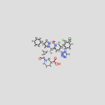 O=C(O)C1CCCN(C(=O)[C@@H]2C[C@@H]2CC(c2ccc(-c3c(-n4cnnn4)ccc(Cl)c3F)c[n+]2[O-])n2cc(-c3ccccc3)cn2)C1